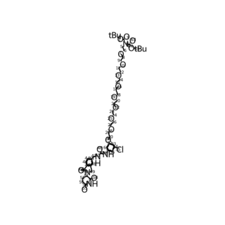 CC(C)(C)OC(=O)N(CCOCCOCCOCCOCCOCCOCCOCCOCCOc1cc(Cl)cc(NC(=O)NCc2ccc3c(c2)CN(C2CCC(=O)NC2=O)C3=O)c1)C(=O)OC(C)(C)C